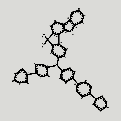 CC1(C)c2cc(N(c3ccc(-c4ccccc4)cc3)c3ccc(-c4ccc(-c5ccccc5)cc4)cc3)ccc2-c2c1ccc1c2sc2ccccc21